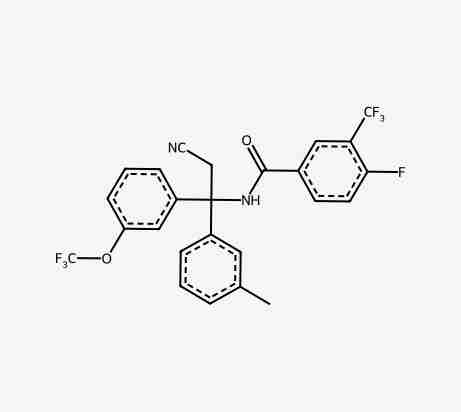 Cc1cccc(C(CC#N)(NC(=O)c2ccc(F)c(C(F)(F)F)c2)c2cccc(OC(F)(F)F)c2)c1